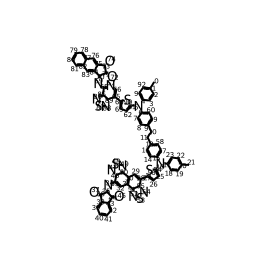 Cc1ccc(N(c2ccc(CCc3ccc(N(c4ccc(C)cc4)c4ccc(-c5cc6c(cc(N=c7c(=O)c8ccccc8c7=O)c7nsnc76)c6nsnc56)s4)cc3)cc2)c2ccc(-c3cnc(/N=c4\c(=O)c(=O)c5cc6ccccc6cc45)c4nsnc34)s2)cc1